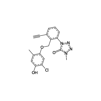 C#Cc1cccc(-n2nnn(C)c2=O)c1COc1cc(Cl)c(O)cc1C